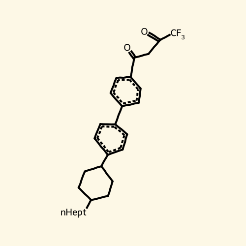 CCCCCCCC1CCC(c2ccc(-c3ccc(C(=O)CC(=O)C(F)(F)F)cc3)cc2)CC1